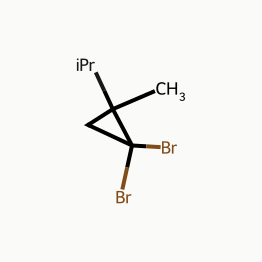 CC(C)C1(C)CC1(Br)Br